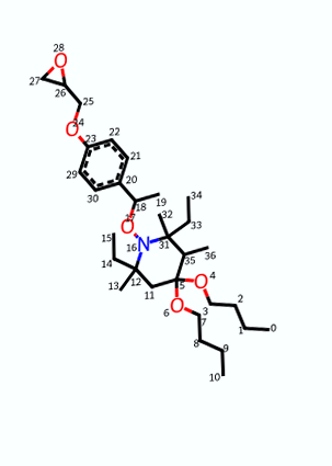 CCCCOC1(OCCCC)CC(C)(CC)N(OC(C)c2ccc(OCC3CO3)cc2)C(C)(CC)C1C